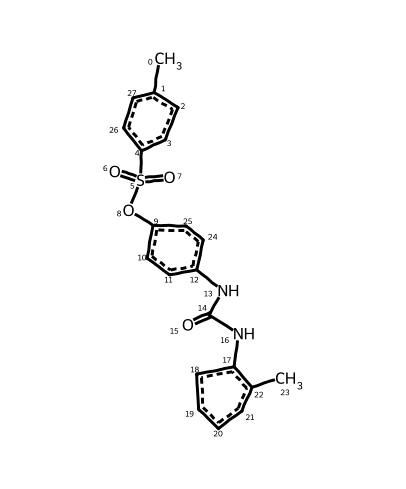 Cc1ccc(S(=O)(=O)Oc2ccc(NC(=O)Nc3ccccc3C)cc2)cc1